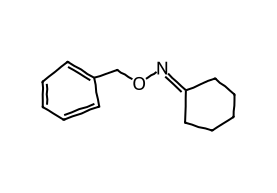 c1ccc(CON=C2CCCCC2)cc1